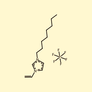 C=C[n+]1ccn(CCCCCCCC)c1.F[P-](F)(F)(F)(F)F